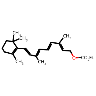 CCOC(=O)OCC=C(C)C=CC=C(C)C=CC1=C(C)CCCC1(C)C